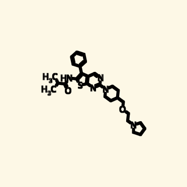 CC(C)C(=O)Nc1sc2nc(N3CCC(COCCN4CCCC4)CC3)ncc2c1-c1ccccc1